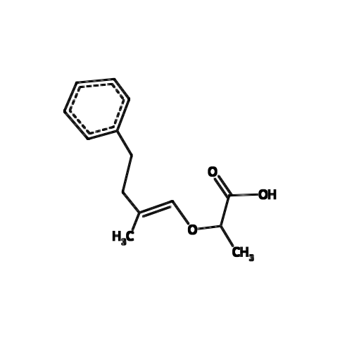 CC(=COC(C)C(=O)O)CCc1ccccc1